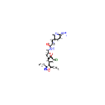 Cc1noc(C)c1-c1cc(Cl)c2c(c1)CC(CNC(=O)/C=C/c1ccc(N)nc1)O2